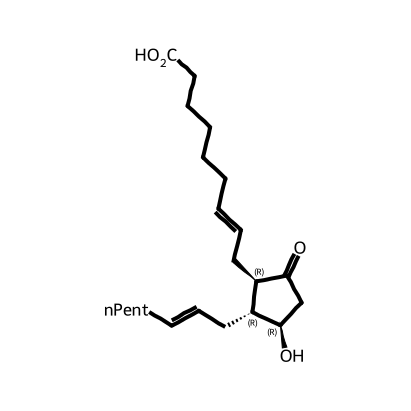 CCCCCC=CC[C@H]1[C@H](O)CC(=O)[C@@H]1CC=CCCCCCC(=O)O